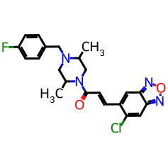 CC1CN(C(=O)C=Cc2cc3nonc3cc2Cl)C(C)CN1Cc1ccc(F)cc1